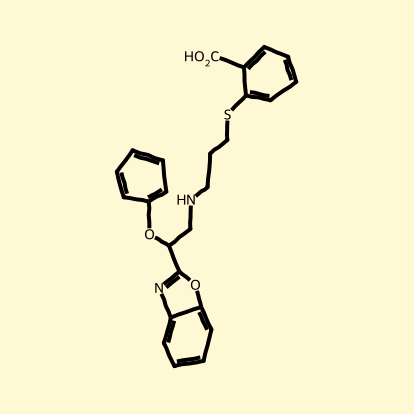 O=C(O)c1ccccc1SCCCNCC(Oc1ccccc1)c1nc2ccccc2o1